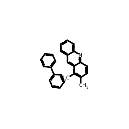 Cc1ccc2nc3ccccc3cc2c1C.c1ccc(-c2ccccc2)cc1